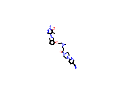 Cc1c(N2Cc3cccc(OCCN(C)CCC(=O)N4CCN(c5ccc(C#N)cn5)CC4)c3C2)cn[nH]c1=O